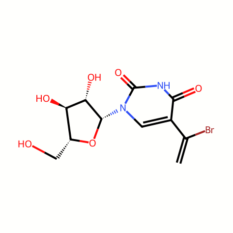 C=C(Br)c1cn([C@@H]2O[C@H](CO)[C@@H](O)[C@@H]2O)c(=O)[nH]c1=O